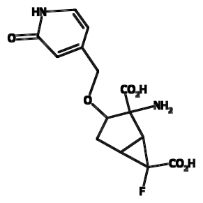 NC1(C(=O)O)C(OCc2cc[nH]c(=O)c2)CC2C1C2(F)C(=O)O